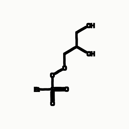 CCS(=O)(=O)OOCC(O)CO